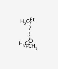 C=C(CC)CCCCCCCCc1cccc(C(C)(C)F)c1